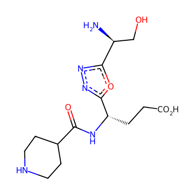 N[C@@H](CO)c1nnc([C@H](CCC(=O)O)NC(=O)C2CCNCC2)o1